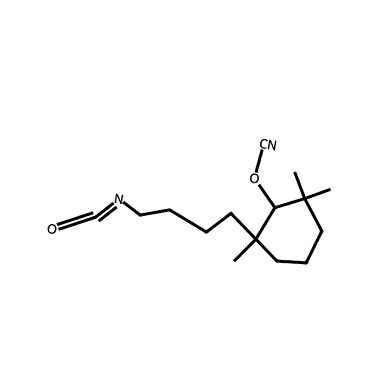 CC1(C)CCCC(C)(CCCCN=C=O)C1OC#N